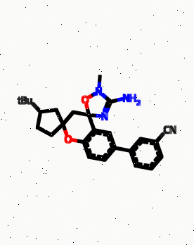 CN1OC2(CC3(CCC(C(C)(C)C)C3)Oc3ccc(-c4cccc(C#N)c4)cc32)N=C1N